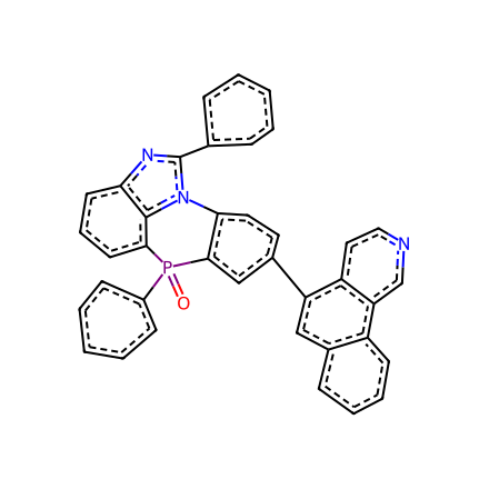 O=P1(c2ccccc2)c2cc(-c3cc4ccccc4c4cnccc34)ccc2-n2c(-c3ccccc3)nc3cccc1c32